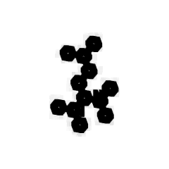 c1ccc(-c2cc(-c3ccccc3)cc(-c3cccc(-c4cccc(-c5cc(-c6cc(-c7ccccc7)cc(-c7ccccc7)n6)cc(-c6cc(-c7ccccc7)cc(-c7ccccc7)n6)c5)c4)c3)c2)cc1